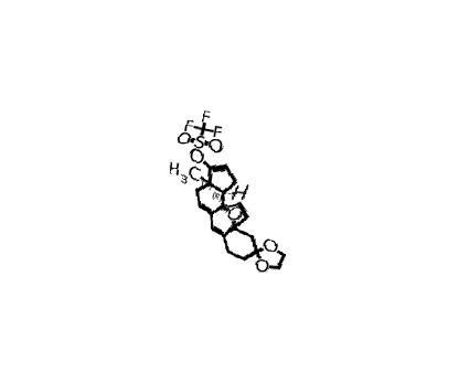 C[C@]12CC=C3C=C4CCC5(CC46CC[C@]3(O6)[C@@H]1CC=C2OS(=O)(=O)C(F)(F)F)OCCO5